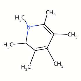 CC1=C(C)C(C)N(C)C(C)=C1C